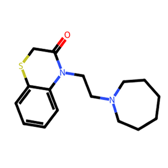 O=C1CSc2ccccc2N1CCN1CCCCCC1